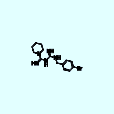 N=C(NCc1ccc(Br)cc1)NC(=N)N1CCCCC1